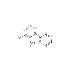 CCOC(=O)c1c(Cl)ncnc1-c1ccccc1